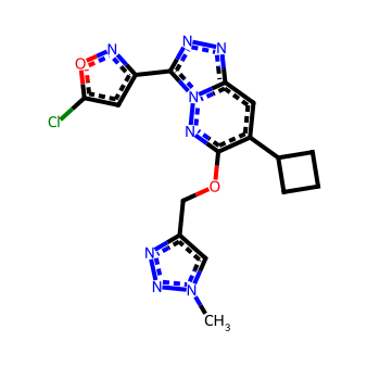 Cn1cc(COc2nn3c(-c4cc(Cl)on4)nnc3cc2C2CCC2)nn1